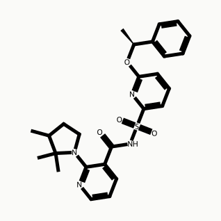 CC1CCN(c2ncccc2C(=O)NS(=O)(=O)c2cccc(O[C@@H](C)c3ccccc3)n2)C1(C)C